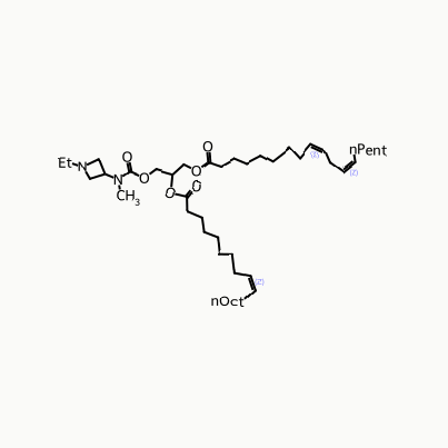 CCCCC/C=C\C/C=C\CCCCCCCC(=O)OCC(COC(=O)N(C)C1CN(CC)C1)OC(=O)CCCCCCC/C=C\CCCCCCCC